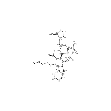 COCCCCn1c(C(=O)N(CC(C)C)[C@H]2C[C@@H](CN3CCCC3=O)CN(C(=O)O)C2C(C)(C)C)nc2ccccc21